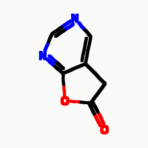 O=C1Cc2cncnc2O1